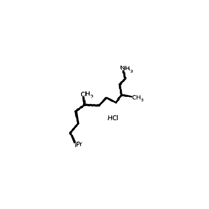 CC(C)CCCC(C)CCCC(C)CCN.Cl